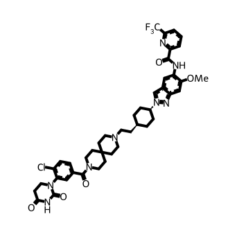 COc1cc2nn([C@H]3CC[C@H](CCN4CCC5(CC4)CCN(C(=O)c4ccc(Cl)c(N6CCC(=O)NC6=O)c4)CC5)CC3)cc2cc1NC(=O)c1cccc(C(F)(F)F)n1